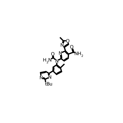 Cc1nc(-c2nc(N(C(N)=O)c3cc(-c4ccnc(C(C)(C)C)n4)ccc3C)ccc2C(N)=O)co1